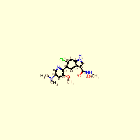 CONC(=O)c1c[nH]c2cc(Cl)c(-c3ncc(N(C)C)cc3OC)cc12